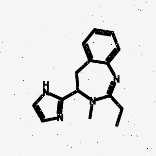 CCC1=Nc2ccccc2CC(c2ncc[nH]2)N1C